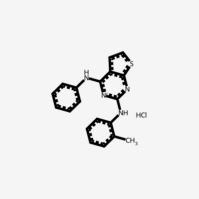 Cc1ccccc1Nc1nc(Nc2ccccc2)c2ccsc2n1.Cl